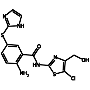 Nc1ccc(Sc2ncc[nH]2)cc1C(=O)Nc1nc(CO)c(Cl)s1